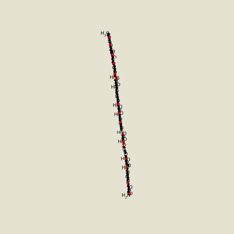 CCCOCCOCCOCCCC(=O)COCC(=O)CCCOCCOCCOCCNC(=O)COCC(=O)NCCOCCOCCOCCNC(=O)COCC(=O)NCCOCCOCCOCCNC(=O)COCC(=O)NCCOCCOCCOCCNC(=O)COCC(=O)NCCOCCOCCOCCCC(=O)COCC(N)=O